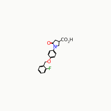 O=C(O)C1CC(=O)N(c2ccc(OCc3ccccc3F)cc2)C1